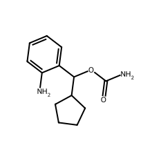 NC(=O)OC(c1ccccc1N)C1CCCC1